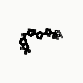 CC(C)(C)c1coc(C2CCC(c3cc(Nc4ccc5c(c4)CS(=O)(=O)N5)n[nH]3)C2)n1